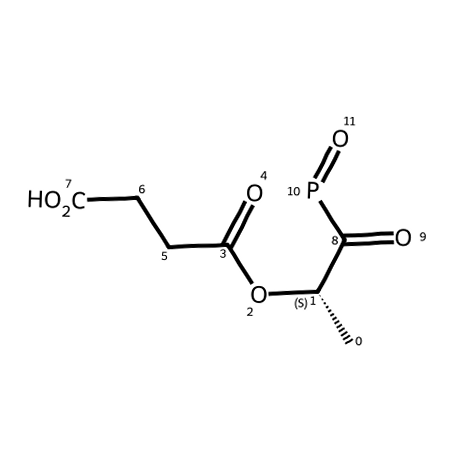 C[C@H](OC(=O)CCC(=O)O)C(=O)P=O